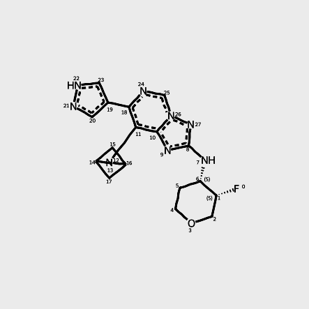 F[C@@H]1COCC[C@@H]1Nc1nc2c(N3CC4CC3C4)c(-c3cn[nH]c3)ncn2n1